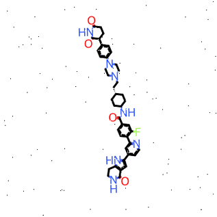 O=C1CCC(c2ccc(N3CCN(CC[C@H]4CC[C@H](NC(=O)c5ccc(-c6cc(-c7cc8c([nH]7)CCNC8=O)ccn6)c(F)c5)CC4)CC3)cc2)C(=O)N1